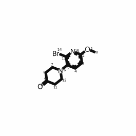 COc1ccc(N2CCC(=O)CC2)c(Br)n1